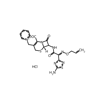 C=CCON=C(C(=O)NC1C(=O)N2C(C(=O)[O-])=C(C[n+]3ccccc3)CS[C@@H]12)c1nsc(N)n1.Cl